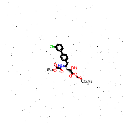 CCOC(=O)OCOC(=O)[C@H](O)C[C@@H](Cc1ccc(-c2cccc(Cl)c2)cc1)NC(=O)C(=O)OC(C)(C)C